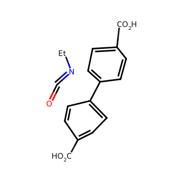 CCN=C=O.O=C(O)c1ccc(-c2ccc(C(=O)O)cc2)cc1